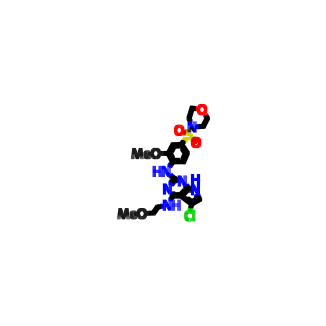 COCCNc1nc(Nc2ccc(S(=O)(=O)N3CCOCC3)cc2OC)nc2[nH]cc(Cl)c12